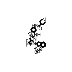 COc1ccc(NC(=O)C2CCN(C)CC2)cc1Nc1ncc(C(F)(F)F)c(N[C@@H]2Cc3ccccc3[C@H]2N(C)S(C)(=O)=O)n1